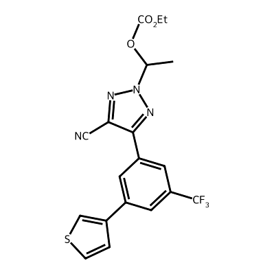 CCOC(=O)OC(C)n1nc(C#N)c(-c2cc(-c3ccsc3)cc(C(F)(F)F)c2)n1